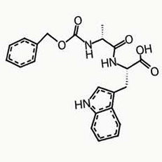 C[C@@H](NC(=O)OCc1ccccc1)C(=O)N[C@@H](Cc1c[nH]c2ccccc12)C(=O)O